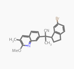 COc1nc2cc(C(C)(C#N)C3CCc4ccc(Br)cc43)ccc2cc1C